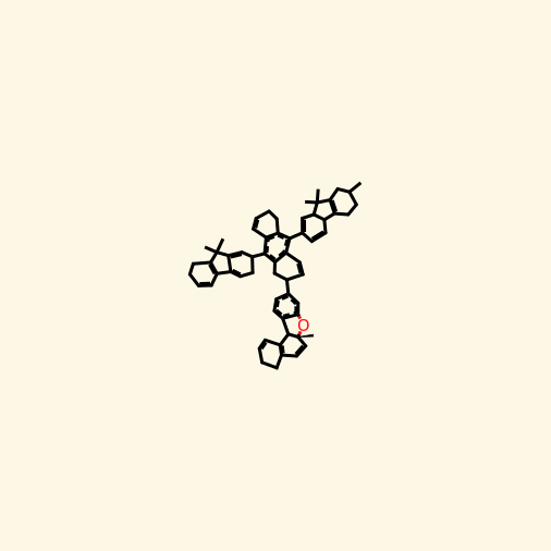 CC1CCC2=C(C1)C(C)(C)C1C=C(c3c4c(c(C5C=C6C(=CC5)C5=C(CCC=C5)C6(C)C)c5c3CCC=C5)CC(c3ccc5c(c3)O[C@]3(C)C=CC6=C(C=CCC6)C53)C=C4)C=CC21